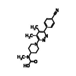 Cc1c(-c2ccc(C#N)cc2)nnc(N2CCC(N(C)C(=O)O)CC2)c1C